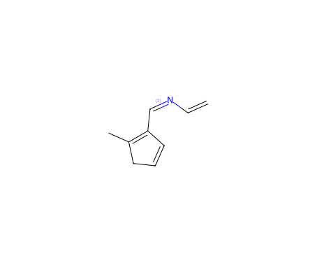 C=C/N=C\C1=C(C)CC=C1